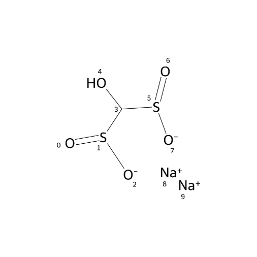 O=S([O-])C(O)S(=O)[O-].[Na+].[Na+]